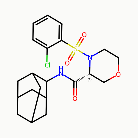 O=C(NC1C2CC3CC(C2)CC1C3)[C@H]1COCCN1S(=O)(=O)c1ccccc1Cl